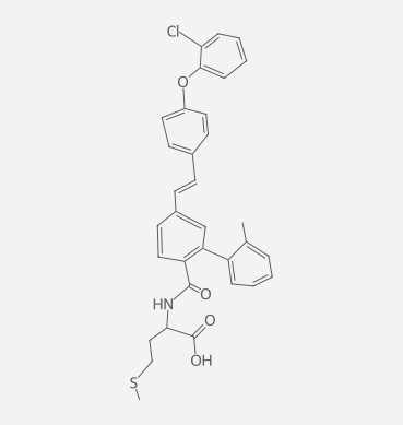 CSCCC(NC(=O)c1ccc(C=Cc2ccc(Oc3ccccc3Cl)cc2)cc1-c1ccccc1C)C(=O)O